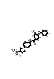 CN(C)C1CCN(c2ccc(NC(=O)c3ccc(Oc4ccccc4)c(C(F)(F)F)c3)cc2)C1